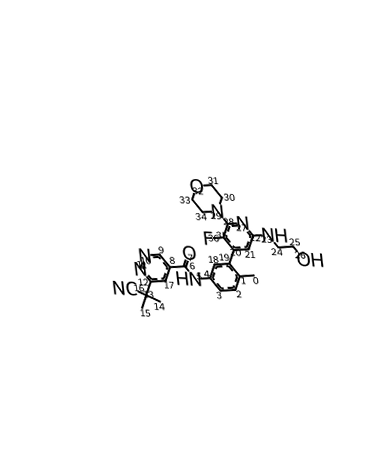 Cc1ccc(NC(=O)c2cnnc(C(C)(C)C#N)c2)cc1-c1cc(NCCO)nc(N2CCOCC2)c1F